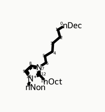 CCCCCCCCCCCCCCCCn1cc[n+](CCCCCCCCC)c1CCCCCCCC